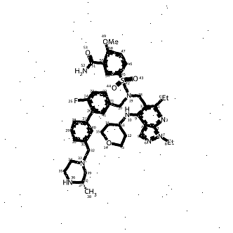 CCc1nc2c(cnn2CC)c(NC2CCOCC2)c1CN(Cc1ccc(F)c(-c2cccc(CN3CCN[C@@H](C)C3)c2)c1)S(=O)(=O)c1ccc(OC)c(C(N)=O)c1